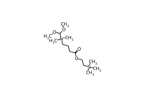 COC(OC)[N+](C)(C)CCCC(=O)OCC[Si](C)(C)C